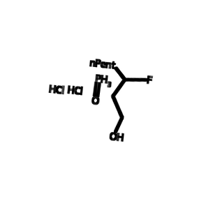 CCCCCC(F)CCO.Cl.Cl.O=[PH3]